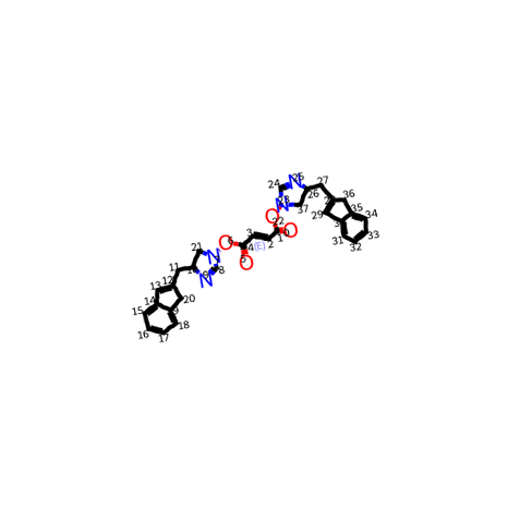 O=C(/C=C/C(=O)ON1C=NC(CC2=Cc3ccccc3C2)C1)ON1C=NC(CC2=Cc3ccccc3C2)C1